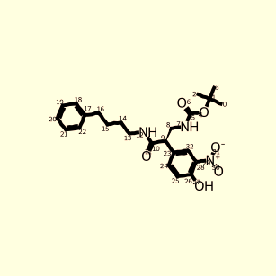 CC(C)(C)OC(=O)NC[C@H](C(=O)NCCCCc1ccccc1)c1ccc(O)c([N+](=O)[O-])c1